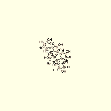 Oc1c(O)c(O)c(-c2c3c(O)c(O)c(O)c(O)c3c(-c3c(O)c(O)c4oc5c(O)c(O)c(O)c(O)c5c4c3O)c3c(O)c(O)c(O)c(O)c23)c(O)c1O